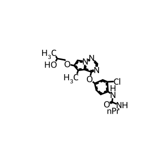 CCCNC(=O)Nc1ccc(Oc2ncnn3cc(OCC(C)O)c(C)c23)cc1Cl